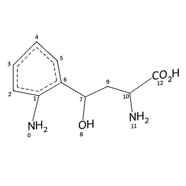 Nc1ccccc1C(O)CC(N)C(=O)O